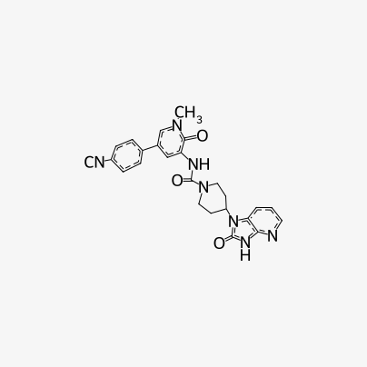 [C-]#[N+]c1ccc(-c2cc(NC(=O)N3CCC(n4c(=O)[nH]c5ncccc54)CC3)c(=O)n(C)c2)cc1